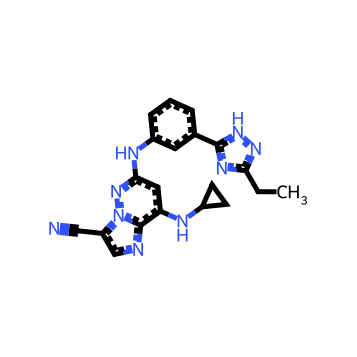 CCc1n[nH]c(-c2cccc(Nc3cc(NC4CC4)c4ncc(C#N)n4n3)c2)n1